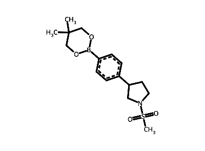 CC1(C)COB(c2ccc(C3CCN(S(C)(=O)=O)C3)cc2)OC1